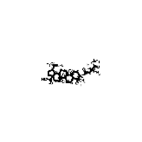 C=C(C)C1CCC2(C(=O)O)CC[C@]3(C)C(CCC4C5(C)CCC(OC(=O)CC(C)(C)C(=O)OC)C(C)(C)C5CCC43C)C12